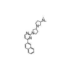 CN(C)[C@@H]1CCN([C@H]2CCN(c3nccc(-c4ccc5ccccc5c4)n3)C2)C1